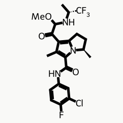 COC(N[C@H](C)C(F)(F)F)C(=O)c1c(C)c(C(=O)Nc2ccc(F)c(Cl)c2)n2c1CC[C@H]2C